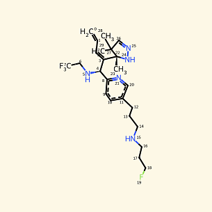 C=C/C=C(/[C@H](NCC(F)(F)F)c1ccc(CCCNCCCF)cn1)[C@@]1(C)NN=CC1(C)C